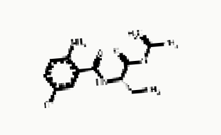 C=C(C)OC(=O)[C@H](CC)NC(=O)c1cc(Cl)ccc1N